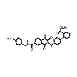 COC(=O)c1ccccc1-c1ccc(C(C)n2c(=O)[nH]c3ccc(C(=O)NCc4ccc(OC)cc4)cc3c2=O)cc1